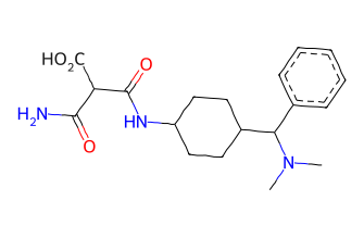 CN(C)C(c1ccccc1)C1CCC(NC(=O)C(C(N)=O)C(=O)O)CC1